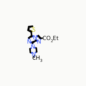 CCOC(=O)c1cn2c(-c3cccs3)cnc(N3CCN(C)CC3)c2n1